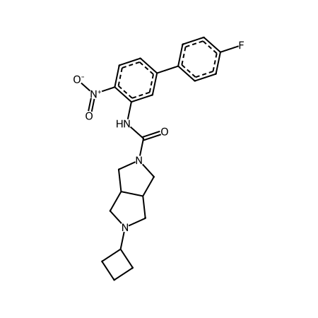 O=C(Nc1cc(-c2ccc(F)cc2)ccc1[N+](=O)[O-])N1CC2CN(C3CCC3)CC2C1